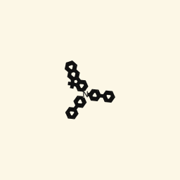 CC1(C)c2cc(N(c3ccc(-c4ccccc4)cc3)c3ccc(-c4ccccc4)cc3)ccc2-c2cc3ccccc3cc21